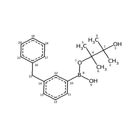 CC(C)(O)C(C)(C)OB(O)c1cccc(Cc2ccccc2)c1